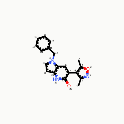 Cc1noc(C)c1-c1cc2c(ccn2Cc2ccccc2)[nH]c1=O